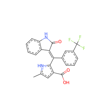 Cc1cc(C(=O)O)c(C(=C2C(=O)Nc3ccccc32)c2cccc(C(F)(F)F)c2)[nH]1